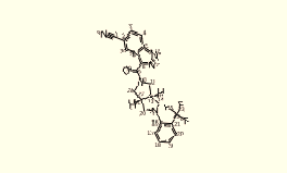 N#Cc1ccc2nnc(C(=O)N3C[C@@H]4CN(c5ccccc5C(F)(F)F)C[C@@H]4C3)n2c1